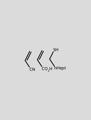 C=CC#N.C=CC(=O)O.CCCCCCCCS